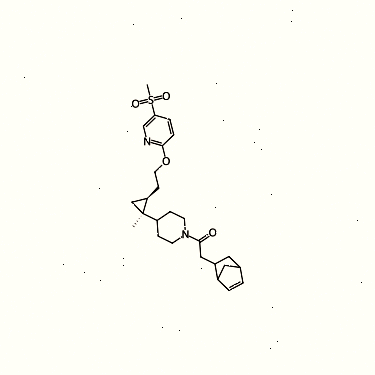 C[C@]1(C2CCN(C(=O)CC3CC4C=CC3C4)CC2)C[C@H]1CCOc1ccc(S(C)(=O)=O)cn1